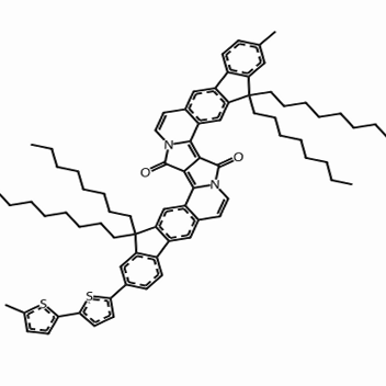 CCCCCCCCC1(CCCCCCCC)c2cc(C)ccc2-c2cc3c(cc21)C1=C2C(=O)N4C=Cc5cc6c(cc5C4=C2C(=O)N1C=C3)C(CCCCCCCC)(CCCCCCCC)c1cc(-c2ccc(-c3ccc(C)s3)s2)ccc1-6